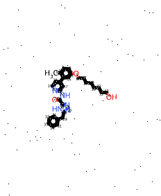 Cc1ccc(OCCCCCCCCO)cc1-c1ccnc(NC(=O)c2nnc(Cc3ccccc3)[nH]2)c1